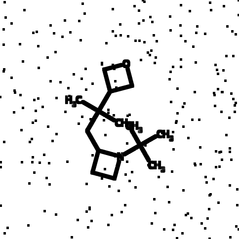 CC(C)(CC1CCN1C(C)(C)C)C1COC1